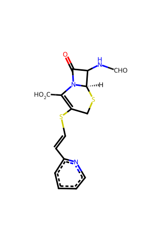 O=CNC1C(=O)N2C(C(=O)O)=C(S/C=C/c3ccccn3)CS[C@H]12